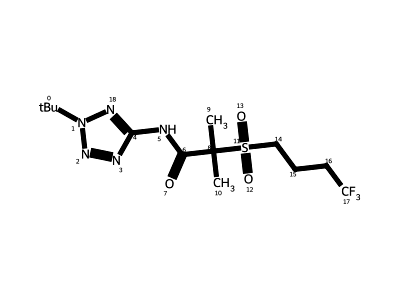 CC(C)(C)n1nnc(NC(=O)C(C)(C)S(=O)(=O)CCCC(F)(F)F)n1